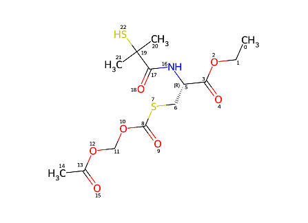 CCOC(=O)[C@H](CSC(=O)OCOC(C)=O)NC(=O)C(C)(C)S